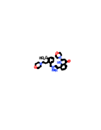 O=C(O)c1cccc(Cn2cc(-c3cccc4c(=O)cc(N5CCOCC5)[nH]c34)nn2)c1CCN1CCOCC1